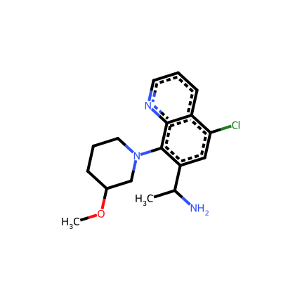 COC1CCCN(c2c(C(C)N)cc(Cl)c3cccnc23)C1